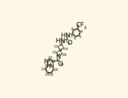 O=C(Nc1cccc(C(F)(F)F)c1)NC1CC2(C1)CN(C(=O)c1cnc3ccccn13)C2